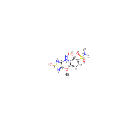 CCOc1n[s+]([O-])nc1Nc1cccc(S(=O)(=O)N(C)C)c1O